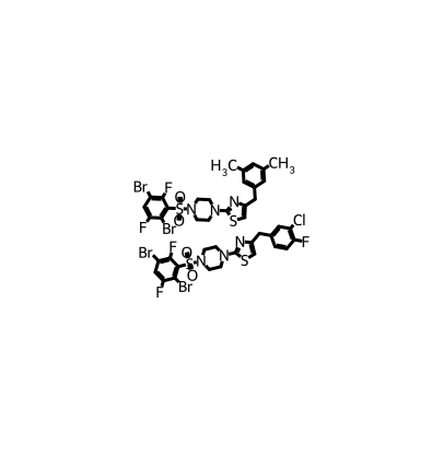 Cc1cc(C)cc(Cc2csc(N3CCN(S(=O)(=O)c4c(F)c(Br)cc(F)c4Br)CC3)n2)c1.O=S(=O)(c1c(F)c(Br)cc(F)c1Br)N1CCN(c2nc(Cc3ccc(F)c(Cl)c3)cs2)CC1